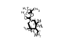 [2H]C1([2H])CN(C(=O)OC(C)(C)C)CC([2H])([2H])C1CN